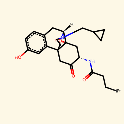 CC(C)CCC(=O)N[C@H]1C[C@@]2(O)[C@H]3Cc4ccc(O)cc4[C@@]2(CCN3CC2CC2)CC1=O